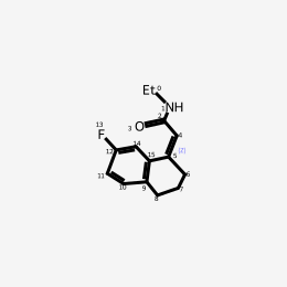 CCNC(=O)/C=C1/CCCc2ccc(F)cc21